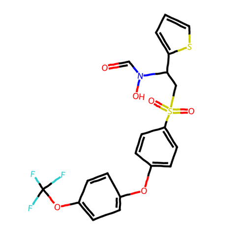 O=CN(O)C(CS(=O)(=O)c1ccc(Oc2ccc(OC(F)(F)F)cc2)cc1)c1cccs1